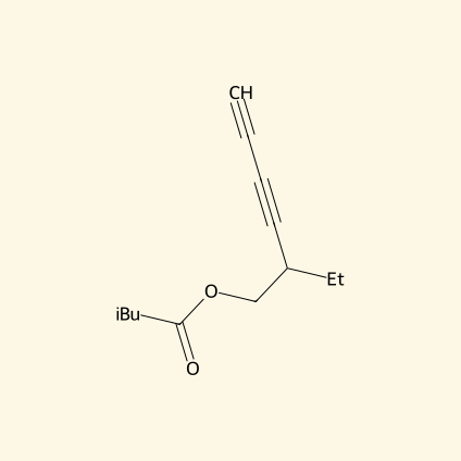 C#CC#CC(CC)COC(=O)C(C)CC